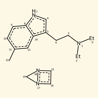 CCN(CC)CCc1c[nH]c2ccc(C)cc12.c1cn2n1C2